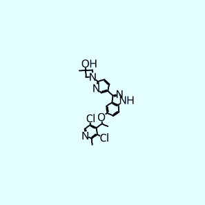 Cc1ncc(Cl)c(C(C)Oc2ccc3[nH]nc(-c4ccc(N5CC(C)(O)C5)nc4)c3c2)c1Cl